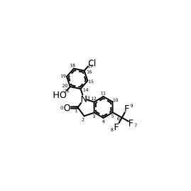 O=C1Cc2cc(C(F)(F)F)ccc2N1c1cc(Cl)ccc1O